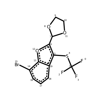 FC(F)(F)Sc1c(C2OCCO2)oc2c(Br)cccc12